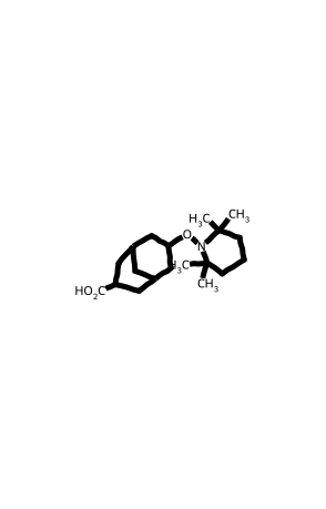 CC1(C)CCCC(C)(C)N1OC1CC2CC(C1)CC(C(=O)O)C2